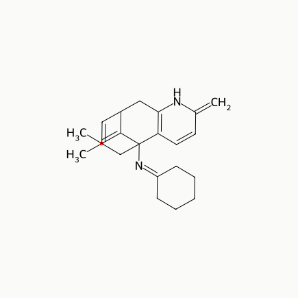 C=C1C=CC2=C(CC3C=C(C)CC2(N=C2CCCCC2)/C3=C/C)N1